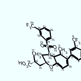 CC1C(c2cccc(C(F)(F)F)c2)=CC=C2O[C@@H](C[C@@H](C)C(=O)O)CN(S(=O)(=O)c3cccc(C(F)(F)F)c3)C21